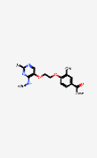 CCCCNc1nc(C)ncc1OCCOc1ccc(C(=O)OC)cc1OC